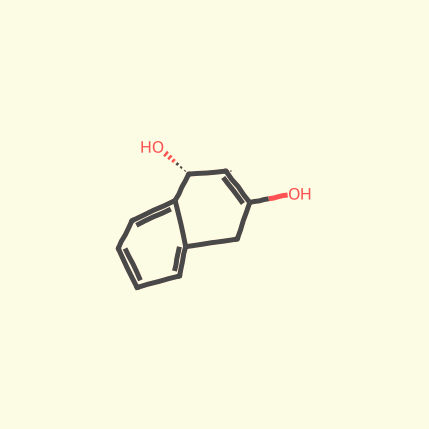 OC1=[C][C@@H](O)c2ccccc2C1